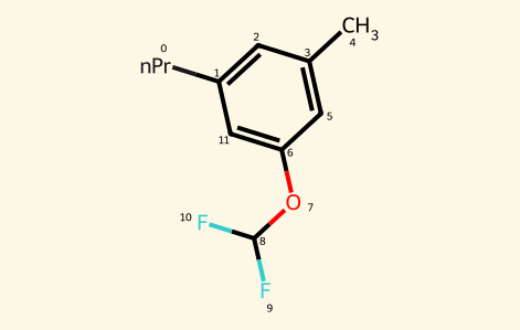 CCCc1cc(C)cc(OC(F)F)c1